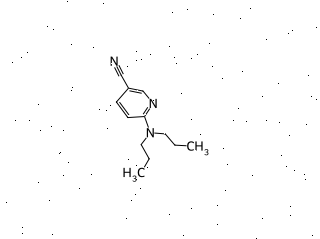 CCCN(CCC)c1ccc(C#N)cn1